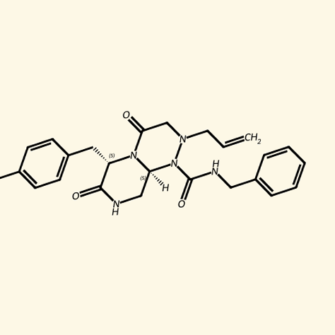 C=CCN1CC(=O)N2[C@@H](Cc3ccc(O)cc3)C(=O)NC[C@@H]2N1C(=O)NCc1ccccc1